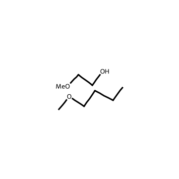 CCCCOC.COCCO